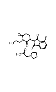 O=C(O)CN1CCCC1.O=C1CCC(N2C(=O)c3cccc(F)c3C2=O)C(=O)N1CCO